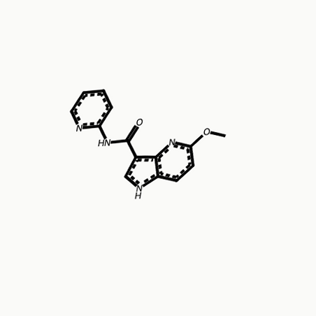 COc1ccc2[nH]cc(C(=O)Nc3ccccn3)c2n1